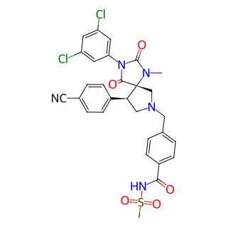 CN1C(=O)N(c2cc(Cl)cc(Cl)c2)C(=O)[C@]12CN(Cc1ccc(C(=O)NS(C)(=O)=O)cc1)C[C@H]2c1ccc(C#N)cc1